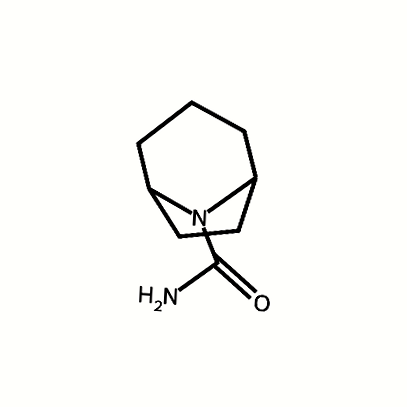 NC(=O)N1C2CCCC1CC2